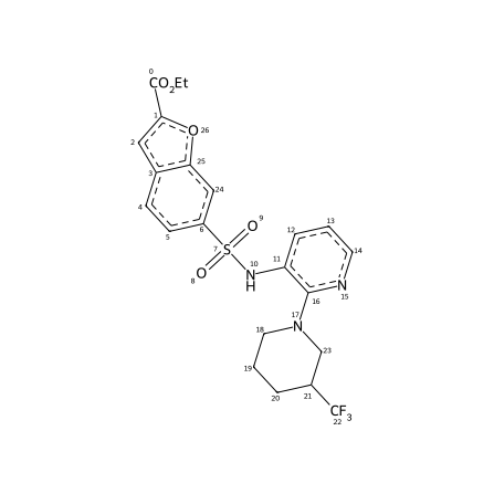 CCOC(=O)c1cc2ccc(S(=O)(=O)Nc3cccnc3N3CCCC(C(F)(F)F)C3)cc2o1